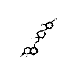 O=C1CCc2c(cccc2OCC2(O)CCN(c3ccc(Cl)cc3F)CC2)N1